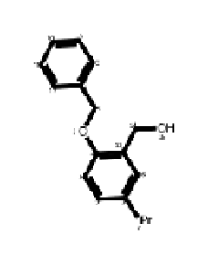 CC(C)c1ccc(OCc2ccccc2)c(CO)c1